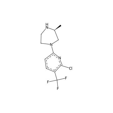 C[C@H]1CN(c2ccc(C(F)(F)F)c(Cl)n2)CCN1